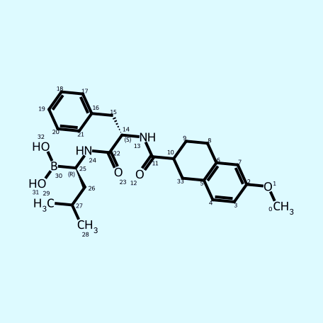 COc1ccc2c(c1)CCC(C(=O)N[C@@H](Cc1ccccc1)C(=O)N[C@@H](CC(C)C)B(O)O)C2